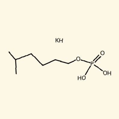 CC(C)CCCCOP(=O)(O)O.[KH]